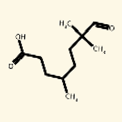 CC(CCC(=O)O)CCC(C)(C)C=O